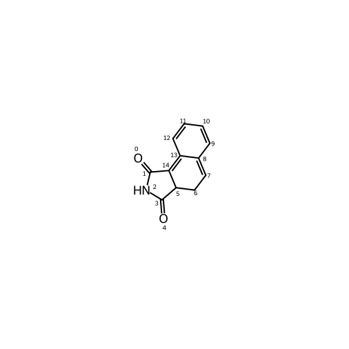 O=C1NC(=O)C2CC=c3ccccc3=C12